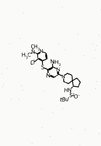 CN(C)c1nccc(Sc2ncc(N3CCC4(CCC[C@H]4N[S@+]([O-])C(C)(C)C)CC3)nc2N)c1Cl